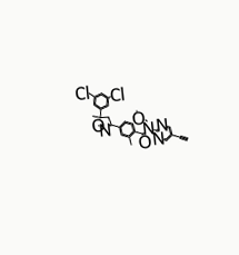 C#Cc1cnc(N(COC)C(=O)c2ccc(C3=NOC(C)(c4cc(Cl)cc(Cl)c4)C3)cc2C)nc1